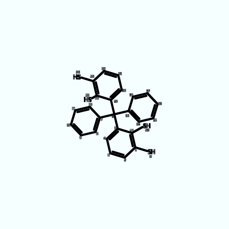 Sc1cccc(C(c2ccccc2)(c2ccccc2)c2cccc(S)c2S)c1S